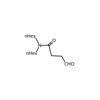 CCCCCCN(CCCCCC)C(=O)CC[C]=O